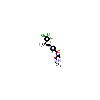 O=C(NC1(C(=O)NCC(F)(F)F)CC1)c1ccc(/C(F)=C/C(c2cc(Cl)c(Cl)c(Cl)c2)C(F)(F)F)cc1Cl